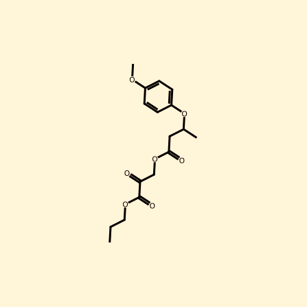 CCCOC(=O)C(=O)COC(=O)CC(C)Oc1ccc(OC)cc1